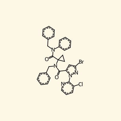 O=C(c1cc(Br)nn1-c1ncccc1Cl)N(Cc1ccccc1)C1(C(=O)N(Cc2ccccc2)c2ccccc2)CC1